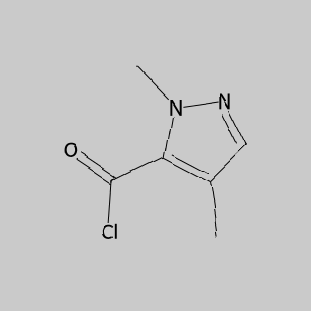 Cc1cnn(C)c1C(=O)Cl